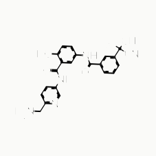 Cc1ccc(NC(=O)c2cccc(C(C)(C)C#N)c2)cc1C(=O)Nc1ccc(CN)nc1